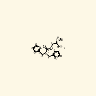 CCCCC(N)COC(=O)N(Cc1cccs1)Cc1cccs1